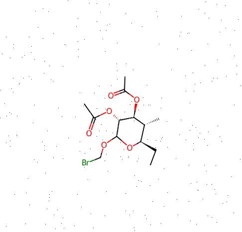 CC[C@H]1OC(OCBr)[C@H](OC(C)=O)[C@@H](OC(C)=O)[C@@H]1C